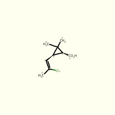 C/C(Cl)=C/[C@@H]1[C@H](C(=O)O)C1(C)C